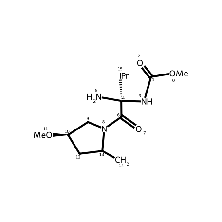 COC(=O)N[C@](N)(C(=O)N1C[C@H](OC)CC1C)C(C)C